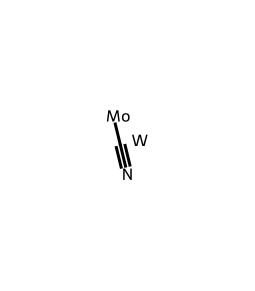 N#[C][Mo].[W]